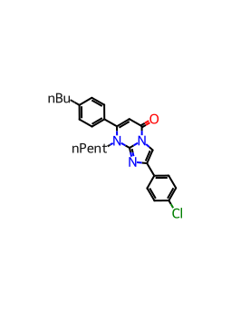 CCCCCn1c(-c2ccc(CCCC)cc2)cc(=O)n2cc(-c3ccc(Cl)cc3)nc12